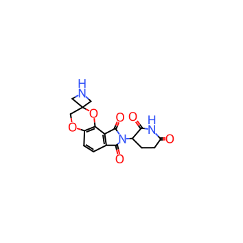 O=C1CCC(N2C(=O)c3ccc4c(c3C2=O)OC2(CNC2)CO4)C(=O)N1